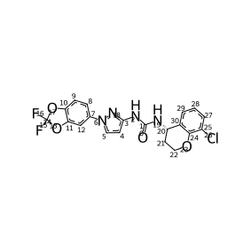 O=C(Nc1ccn(-c2ccc3c(c2)OC(F)(F)O3)n1)N[C@H]1CCOc2c(Cl)cccc21